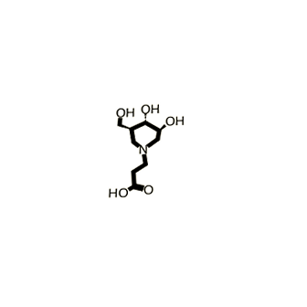 O=C(O)CCN1C[C@@H](CO)[C@H](O)[C@@H](O)C1